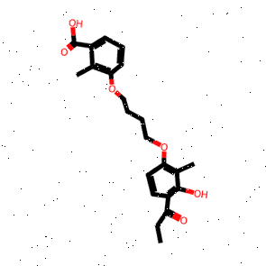 CCC(=O)c1ccc(OCCCCOc2cccc(C(=O)O)c2C)c(C)c1O